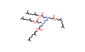 CC(C)=CCC/C(C)=C/COC(=O)CCN(CCC(=O)OC/C=C(\C)CCC=C(C)C)CN(C)CN(CCC(=O)OC/C=C(\C)CCC=C(C)C)CCC(=O)OC/C=C(\C)CCC=C(C)C